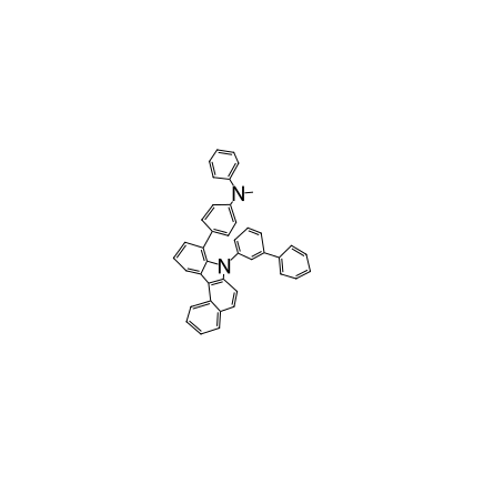 CN(c1ccccc1)c1ccc(-c2cccc3c4c5ccccc5ccc4n(-c4cccc(-c5ccccc5)c4)c23)cc1